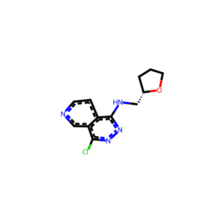 Clc1nnc(NC[C@@H]2CCCO2)c2ccncc12